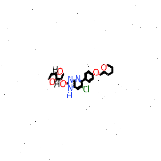 Clc1cc2[nH]c(OC3CO[C@@H]4CCO[C@H]34)nc2nc1-c1ccc(OCC2CCCCO2)cc1